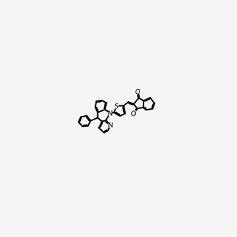 O=C1C(=Cc2ccc(N3c4ccccc4C(c4ccccc4)c4cccnc43)s2)C(=O)c2ccccc21